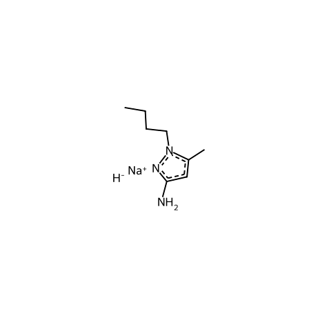 CCCCn1nc(N)cc1C.[H-].[Na+]